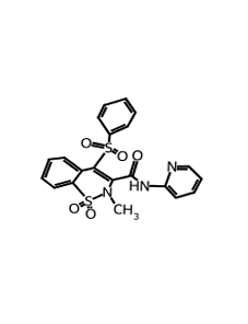 CN1C(C(=O)Nc2ccccn2)=C(S(=O)(=O)c2ccccc2)c2ccccc2S1(=O)=O